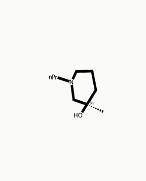 CCCN1CCC[C@@](C)(O)C1